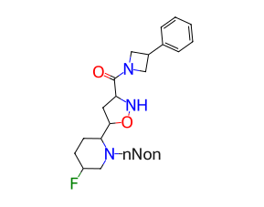 CCCCCCCCCN1CC(F)CCC1C1CC(C(=O)N2CC(c3ccccc3)C2)NO1